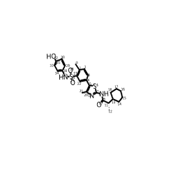 Cc1ccc(-c2sc(NC(=O)[C@@H](C)C3CCCCC3)nc2C)cc1S(=O)(=O)Nc1ccc(O)cc1